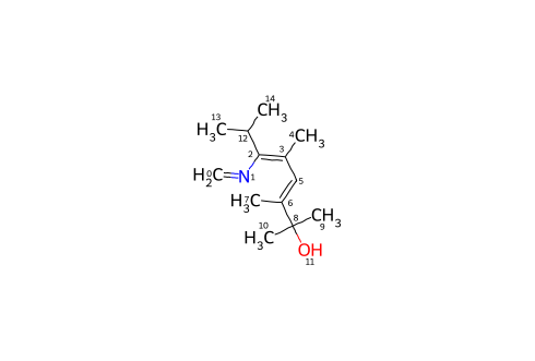 C=N/C(=C(C)\C=C(/C)C(C)(C)O)C(C)C